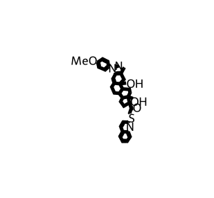 COc1ccc(-n2ncc3c2C=C2CCC4C([C@@H](O)CC5(C)C4CC[C@]5(O)C(=O)CSc4ccc5ccccc5n4)C2(C)C3)cc1